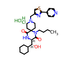 CCCCN1C(=O)[C@@H]([C@H](O)C2CCCCC2)NC(=O)C12CCN(Cc1csc(-c3ccncc3)n1)CC2.Cl.Cl